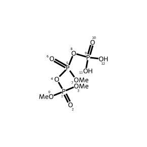 COP(=O)(OC)OP(=O)(OC)OP(=O)(O)O